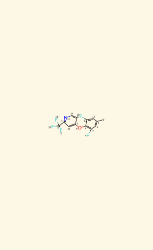 Cc1cc(F)c(Oc2ccnc(C(F)(F)F)c2)c(F)c1